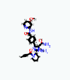 CC#CC(=O)N1CCCC[C@H]1c1nc(-c2ccc(C(=O)Nc3cc(OC)ccn3)cc2)c(C(N)=O)n1N